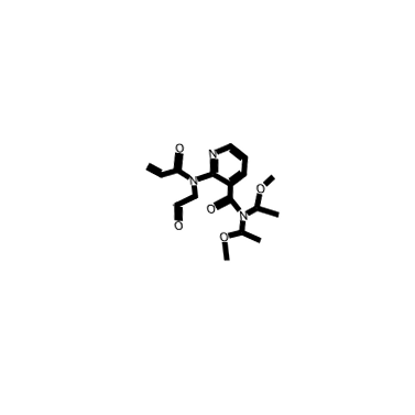 C=CC(=O)N(C[C]=O)c1ncccc1C(=O)N(C(C)OC)C(C)OC